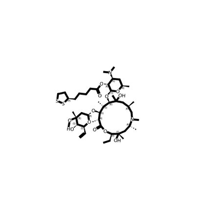 C=C[C@@H]1O[C@@H](O[C@H]2[C@H](C)[C@@H](O[C@@H]3O[C@H](C)C[C@H](N(C)C)[C@H]3OC(=O)CCCC[C@@H]3CCSS3)C(C)(O)C[C@@H](C)CN(C)[C@H](C)C[C@](C)(O)[C@@H](CC)OC(=O)[C@@H]2C)C[C@@](C)(OC)[C@H]1O